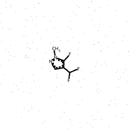 Cn1ncc(C(F)F)c1F